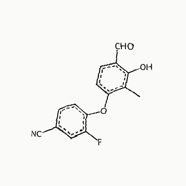 Cc1c(Oc2ccc(C#N)cc2F)ccc(C=O)c1O